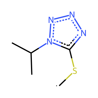 [CH2]Sc1nnnn1C(C)C